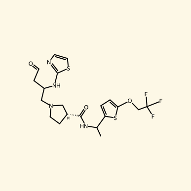 CC(NC(=O)[C@@H]1CCN(CC(CC=O)Nc2nccs2)C1)c1ccc(OCC(F)(F)F)s1